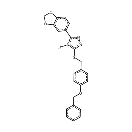 CCn1c(SCc2ccc(OCc3ccccc3)cc2)nnc1-c1ccc2c(c1)OCO2